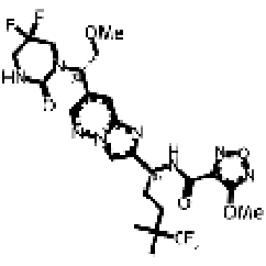 COC[C@H](c1cnn2cc([C@H](CCC(C)(C)C(F)(F)F)NC(=O)c3nonc3OC)nc2c1)N1CC(F)(F)CNC1=O